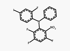 O=[N+]([O-])c1c(F)cc(F)c(F)c1N(c1ccccc1)c1ccc(I)cc1F